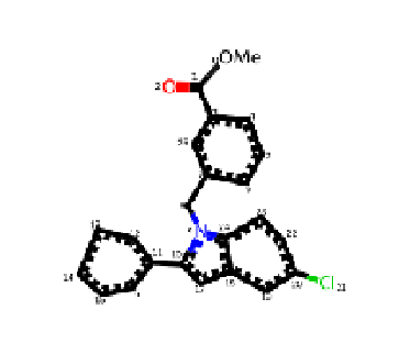 COC(=O)c1cccc(Cn2c(-c3ccccc3)cc3cc(Cl)ccc32)c1